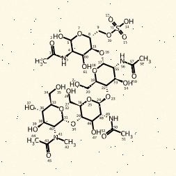 CC(=O)N[C@H]1C(O)O[C@H](COS(=O)(=O)O)[C@@H](O[C@H]2O[C@H](CO)[C@@H](O[C@@H]3O[C@H](CO)[C@@H](O[C@H]4O[C@H](CO)[C@@H](O)[C@H](O)[C@H]4N(C)C(C)=O)C(O)[C@H]3NC(C)=O)[C@H](O)[C@H]2NC(C)=O)C1O